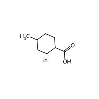 CC1CCC(C(=O)O)CC1.[In]